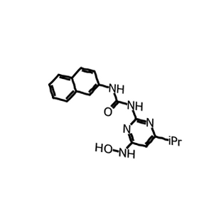 CC(C)c1cc(NO)nc(NC(=O)Nc2ccc3ccccc3c2)n1